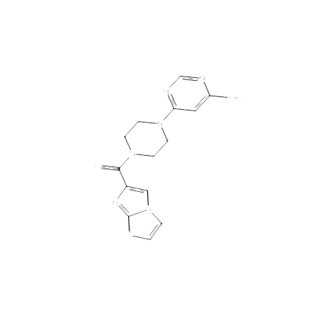 CC(C)COc1cc(N2CCN(C(=O)c3cn4ccsc4n3)CC2)ncn1